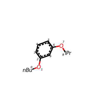 CCCCOc1cccc(OC(C)C)c1